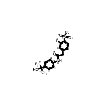 CCS(=O)(=O)c1ccc(CC(=O)Nc2ccc(C(O)(C(F)(F)F)C(F)(F)F)cc2)cc1F